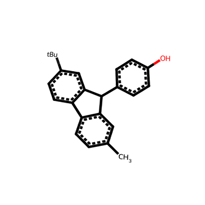 Cc1ccc2c(c1)C(c1ccc(O)cc1)c1cc(C(C)(C)C)ccc1-2